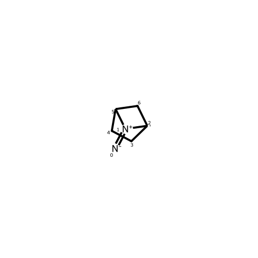 [N-]=[N+]1[C]2CCC1C2